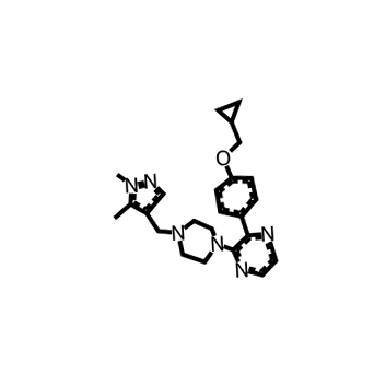 Cc1c(CN2CCN(c3nccnc3-c3ccc(OCC4CC4)cc3)CC2)cnn1C